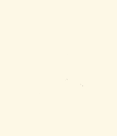 CCCN(Cc1cc(F)cs1)C(=O)OC(C)(C)C